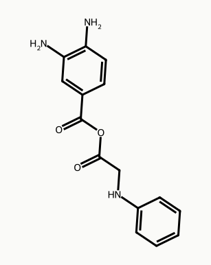 Nc1ccc(C(=O)OC(=O)CNc2ccccc2)cc1N